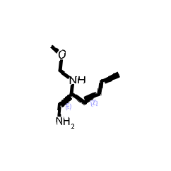 C=C/C=C\C(=C/N)NCOC